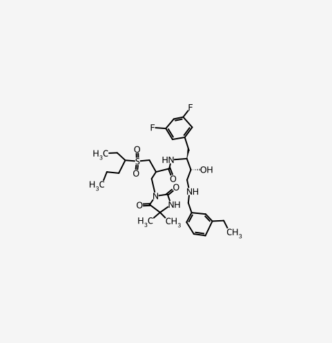 CCCC(CC)S(=O)(=O)CC(CN1C(=O)NC(C)(C)C1=O)C(=O)N[C@@H](Cc1cc(F)cc(F)c1)[C@H](O)CNCc1cccc(CC)c1